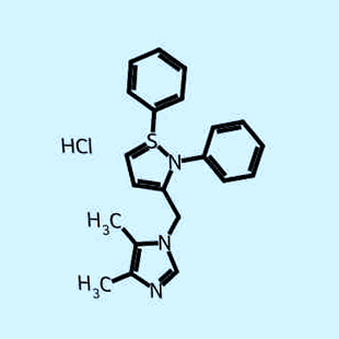 Cc1ncn(CC2=CC=S(c3ccccc3)N2c2ccccc2)c1C.Cl